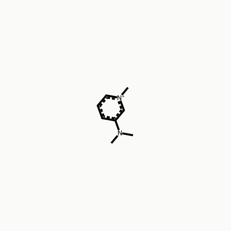 CN(C)c1ccc[n+](C)c1